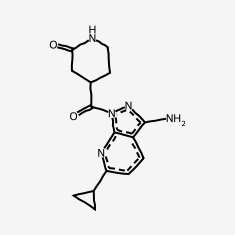 Nc1nn(C(=O)C2CCNC(=O)C2)c2nc(C3CC3)ccc12